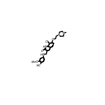 COc1cc(NCc2cc3ccc(OCCN4CCN(C)CC4)c(Cl)c3[nH]c2=O)ccc1C#N